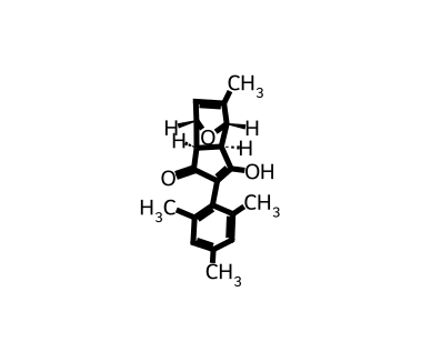 CC1=C[C@@H]2O[C@H]1[C@H]1C(O)=C(c3c(C)cc(C)cc3C)C(=O)[C@H]12